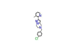 Cc1cccnc1-c1cc2n(n1)CCN(Cc1ccc(Cl)cc1)C2